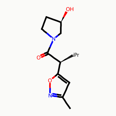 Cc1cc([C@@H](C(=O)N2CC[C@@H](O)C2)C(C)C)on1